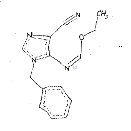 CCO/C=N\c1c(C#N)ncn1Cc1ccccc1